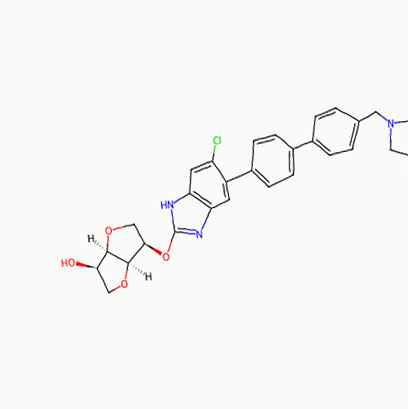 O[C@@H]1CCN(Cc2ccc(-c3ccc(-c4cc5nc(O[C@@H]6CO[C@H]7[C@@H]6OC[C@H]7O)[nH]c5cc4Cl)cc3)cc2)C1